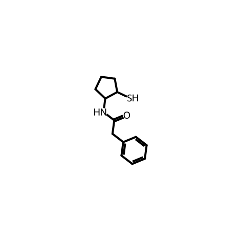 O=C(Cc1ccccc1)NC1CCCC1S